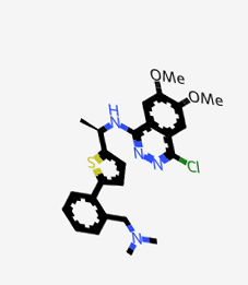 COc1cc2c(Cl)nnc(N[C@H](C)c3ccc(-c4ccccc4CN(C)C)s3)c2cc1OC